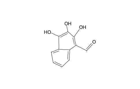 O=[C]c1c(O)c(O)c(O)c2ccccc12